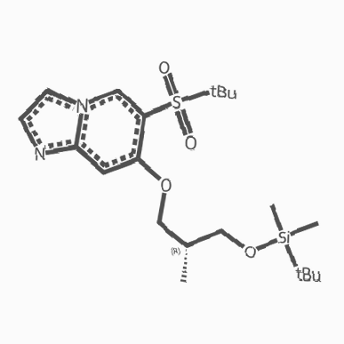 C[C@H](COc1cc2nccn2cc1S(=O)(=O)C(C)(C)C)CO[Si](C)(C)C(C)(C)C